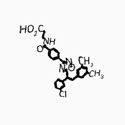 Cc1cc(C)cc(CC(c2cccc(Cl)c2)c2nc(-c3ccc(C(=O)NCCC(=O)O)cc3)no2)c1